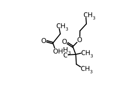 CCC(=O)O.CCCOC(=O)C(C)(C)CC